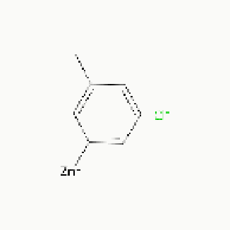 Cc1ccc[c]([Zn+])c1.[Cl-]